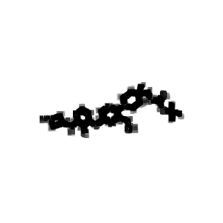 CC1(CNC(=O)OC(C)(C)C)CCN(c2ncc(Sc3ccnc(NC4CNC4)c3Cl)nc2CO)CC1